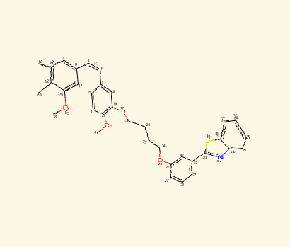 COc1ccc(/C=C\c2cc(C)c(C)c(OC)c2)cc1OCCCCOc1cccc(-c2nc3ccccc3s2)c1